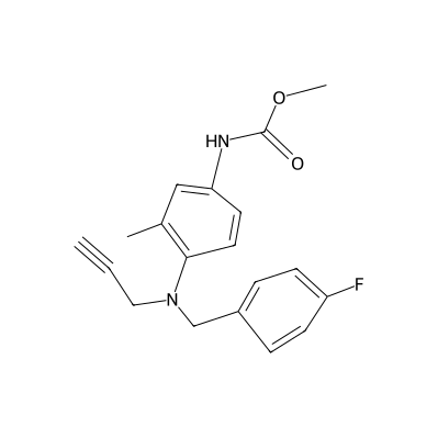 C#CCN(Cc1ccc(F)cc1)c1ccc(NC(=O)OC)cc1C